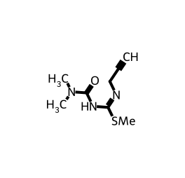 C#CCN=C(NC(=O)N(C)C)SC